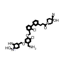 N#CC1(O)CCN(C(=O)CCc2cccc(-c3cccc(COc4cc(OCC5=CC(=N)/C(=N\O)C=C5)c(CN)cc4Cl)c3Cl)c2)CC1